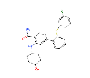 NC(=O)c1ccc(-c2ccccc2Sc2cccc(Cl)c2)cc1N[C@H]1CC[C@H](O)CC1